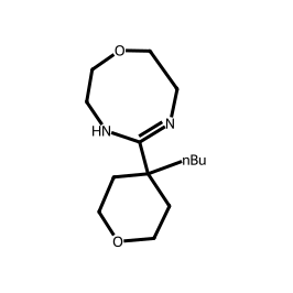 CCCCC1(/C2=N/CCOCCN2)CCOCC1